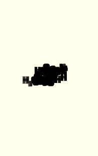 COc1cc2ccc(S(=O)(=O)N[C@@H](CCCNc3ncc[nH]3)C(=O)N3CCCC[C@H]3OC(=O)O)cc2cc1OC